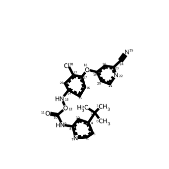 CC(C)(C)c1ccnc(NC(=O)ONc2ccc(Oc3ccnc(C#N)c3)c(Cl)c2)c1